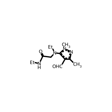 CCNC(=O)CN(CC)c1c(C=O)c(C)nn1C